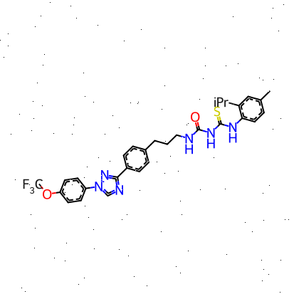 Cc1ccc(NC(=S)NC(=O)NCCCc2ccc(-c3ncn(-c4ccc(OC(F)(F)F)cc4)n3)cc2)c(C(C)C)c1